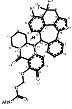 COC(=O)OCOc1c2n(ccc1=O)N(C1c3ccccc3-c3scc4c3-c3c1ccc(F)c3C(F)(F)C4)[C@@H]1CCCCN1C2=O